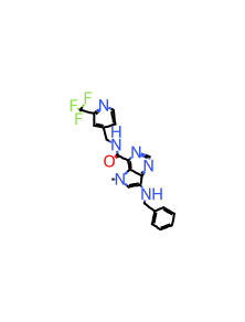 Cn1cc(NCc2ccccc2)c2ncnc(C(=O)NCc3ccnc(C(F)(F)F)c3)c21